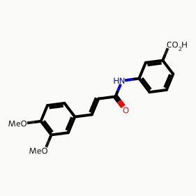 COc1ccc(/C=C/C(=O)Nc2cccc(C(=O)O)c2)cc1OC